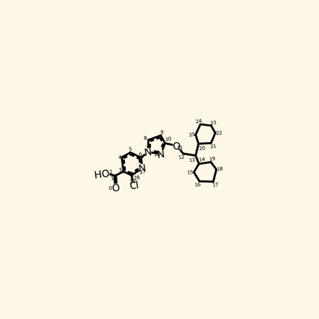 O=C(O)c1ccc(-n2ccc(OCC(C3CCCCC3)C3CCCCC3)n2)nc1Cl